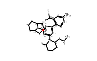 CCOCC1CCCC(C)N1c1nc(-c2cnc(N)cc2C(F)F)nc(N2C3CCCC2COC3)n1